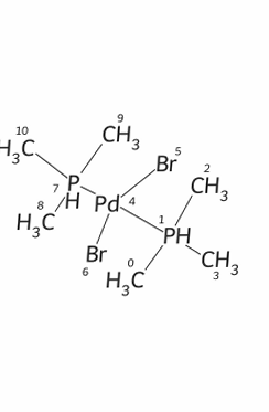 C[PH](C)(C)[Pd]([Br])([Br])[PH](C)(C)C